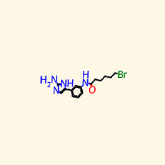 Nc1ncc(-c2cccc(NC(=O)CCCCCBr)c2)[nH]1